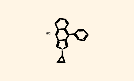 Cl.c1ccc(-c2c3ccccc3cc3cn(C4CC4)cc23)cc1